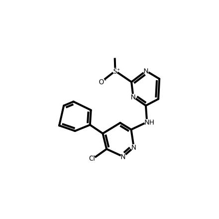 C[S+]([O-])c1nccc(Nc2cc(-c3ccccc3)c(Cl)nn2)n1